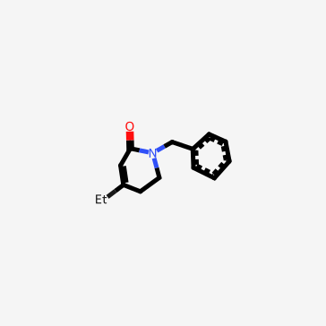 CCC1=CC(=O)N(Cc2ccccc2)CC1